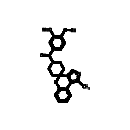 CCOc1ccc(C(=O)N2CCC3(CC2)Oc2ccccc2-c2c3cnn2C)cc1OC